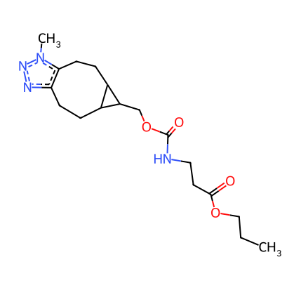 CCCOC(=O)CCNC(=O)OCC1C2CCc3nnn(C)c3CCC21